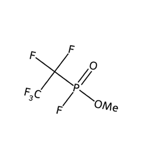 COP(=O)(F)C(F)(F)C(F)(F)F